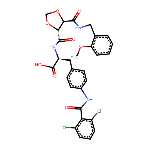 COc1ccccc1CNC(=O)[C@@H]1OCO[C@H]1C(=O)N[C@@H](Cc1ccc(NC(=O)c2c(Cl)cccc2Cl)cc1)C(=O)O